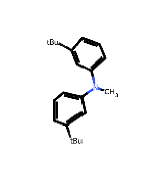 CN(c1cccc(C(C)(C)C)c1)c1cccc(C(C)(C)C)c1